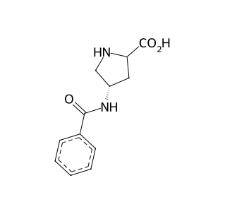 O=C(N[C@@H]1CNC(C(=O)O)C1)c1ccccc1